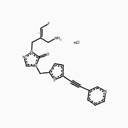 Cl.NC/C(=C\F)Cn1ncn(Cc2ccc(C#Cc3cccnc3)s2)c1=O